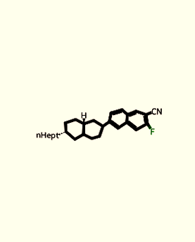 CCCCCCC[C@@H]1CC[C@@H]2CC(c3ccc4cc(C#N)c(F)cc4c3)CCC2C1